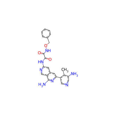 Cc1c(N)cncc1-c1cc2cc(NC(=O)C(=O)NOCc3ccccc3)ncc2c(N)n1